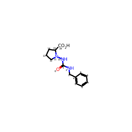 O=C(NCc1ccccc1)NN1CCCC1C(=O)O